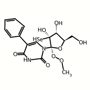 COO[C@@]1(n2cc(-c3ccccc3)c(=O)[nH]c2=O)O[C@H](CO)[C@@H](O)[C@]1(O)[SeH]